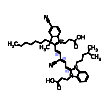 CCCCCCCC1(C)C(/C=C/C(C#N)=C/C=C2\N(CCCC(C)C)c3ccccc3N2CCC(=O)O)=[N+](CCC(=O)O)C2C=CC(C#N)=CC21